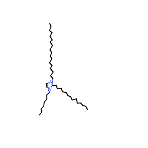 CCCCCCCCCCCCCCCCCCN1C=CN(CCCCCCCC)C1CCCCCCCCCCCCCC